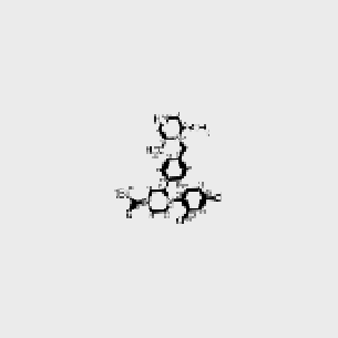 C[C@@H]1CNC[C@H](C)N1Cc1ccc([C@@H]2CN(C(=O)C(C)(C)C)CCN2c2ccc(Cl)cc2Cl)cc1